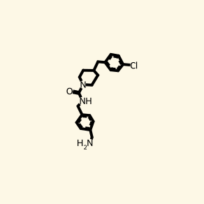 NCc1ccc(CNC(=O)N2CCC(Cc3ccc(Cl)cc3)CC2)cc1